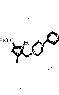 CCOC(=O)c1cc(C)c(CN2CCN(c3ccncc3)CC2)n1CC